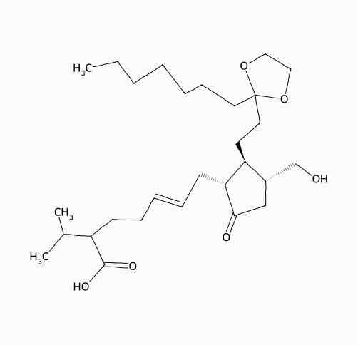 CCCCCCCC1(CC[C@H]2[C@H](CO)CC(=O)[C@@H]2C/C=C/CCC(C(=O)O)C(C)C)OCCO1